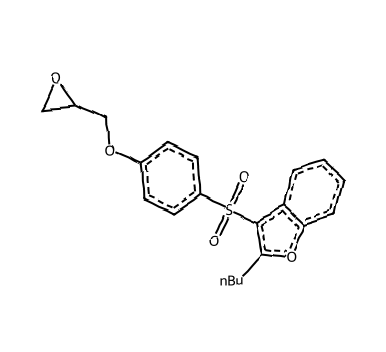 CCCCc1oc2ccccc2c1S(=O)(=O)c1ccc(OCC2CO2)cc1